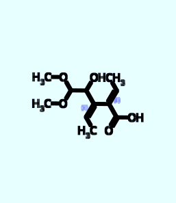 C/C=C(C(=O)O)\C(=C/C)C(O)C(OC)OC